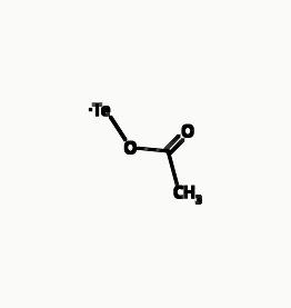 CC(=O)O[Te]